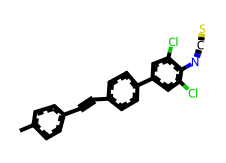 Cc1ccc(C#Cc2ccc(-c3cc(Cl)c(N=C=S)c(Cl)c3)cc2)cc1